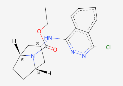 CCOC(=O)N1[C@@H]2CC[C@H]1C[C@@H](Nc1nnc(Cl)c3ccccc13)C2